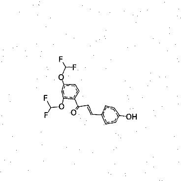 O=C(/C=C/c1ccc(O)cc1)c1ccc(OC(F)F)cc1OC(F)F